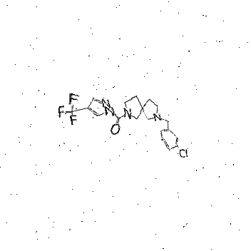 O=C(N1CCC2(CCN(Cc3cccc(Cl)c3)C2)C1)n1cc(C(F)(F)F)cn1